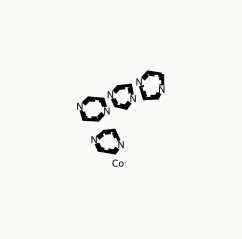 [Co].c1cnccn1.c1cnccn1.c1cnccn1.c1cnccn1